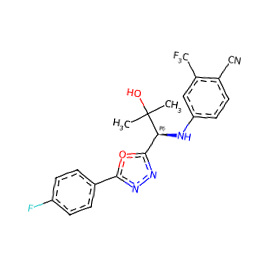 CC(C)(O)[C@@H](Nc1ccc(C#N)c(C(F)(F)F)c1)c1nnc(-c2ccc(F)cc2)o1